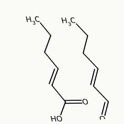 CCC/C=C/C(=O)O.CCC/C=C/C=O